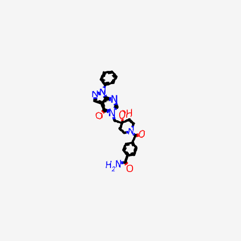 NC(=O)c1ccc(C(=O)N2CCC(O)(Cn3cnc4c(cnn4-c4ccccc4)c3=O)CC2)cc1